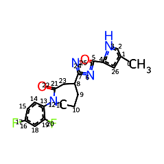 Cc1c[nH]c(-c2nc(C3CCCN(c4ccc(F)cc4F)C(=O)C3)no2)c1